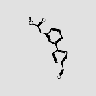 COC(=O)Cc1cccc(-c2ccc(C=O)cc2)c1